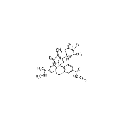 C=C(NC)c1ccc2c(c1)CCc1cc(C(=O)NC)ccc1C2(CCNCC(=C)N(C(C)C#N)C1CC1)c1nn(C)c(=O)[nH]1